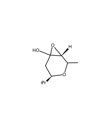 CC1O[C@@H](C(C)C)CC2(O)O[C@H]12